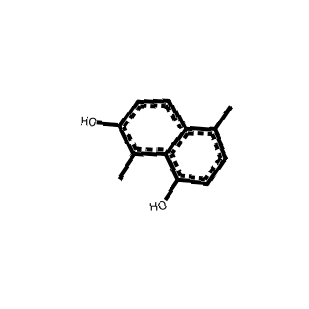 Cc1ccc(O)c2c(C)c(O)ccc12